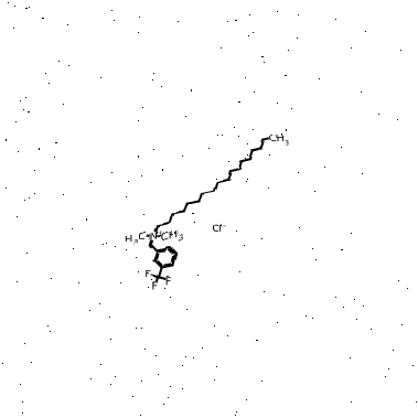 CCCCCCCCCCCCCCCCCC[N+](C)(C)Cc1cccc(C(F)(F)F)c1.[Cl-]